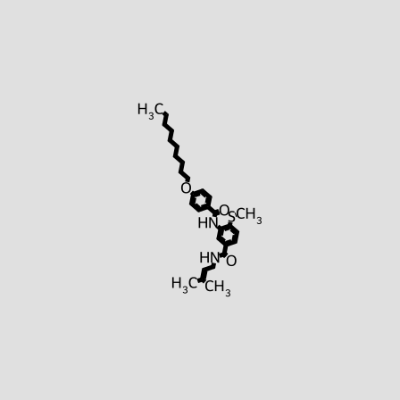 CCCCCCCCCCOc1ccc(C(=O)Nc2cc(C(=O)NCC=C(C)C)ccc2SC)cc1